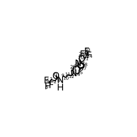 O=C(CCC(F)(F)F)NCCCCN1CCc2ccc(OCC(F)(F)F)nc2CC1